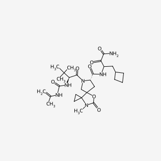 C=C(C)NC(=O)N[C@H](C(=O)N1CC2(C[C@H]1C(=O)NC(CC1CCC1)C(=O)C(N)=O)OC(=O)N(C)C21CC1)C(C)(C)C